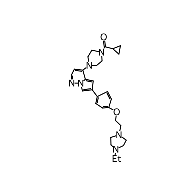 CCN1CCN(CCOc2ccc(-c3cc4c(N5CCN(C(=O)C6CC6)CC5)ccnn4c3)cc2)CC1